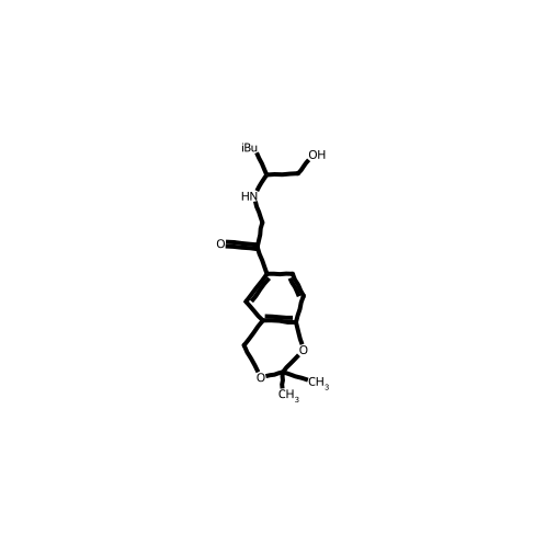 CCC(C)C(CO)NCC(=O)c1ccc2c(c1)COC(C)(C)O2